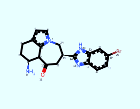 N[C@H]1CCc2ccn3c2C1C(=O)C[C@H](c1nc2ccc(Br)cc2[nH]1)C3